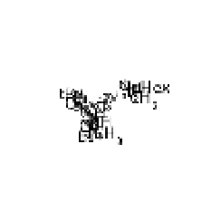 CCCCCCN(C)C(=O)CCCOc1ccc2c(c1)CN(CC(=O)OC(C)(C)C)CN2NC(=O)N(C)CC